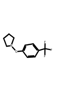 FC(F)(F)c1ccc(ON2CCCC2)cc1